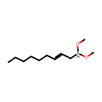 CCCCCCC=CC[SiH](OC)OC